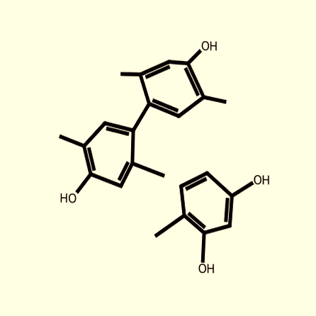 Cc1cc(-c2cc(C)c(O)cc2C)c(C)cc1O.Cc1ccc(O)cc1O